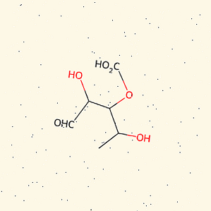 CC(O)C(OC(=O)O)C(O)C=O